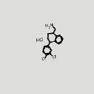 Cl.NCC1CCC(c2ccc(Cl)c(Cl)c2)c2ccccc21